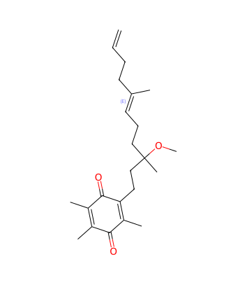 C=CCC/C(C)=C/CCC(C)(CCC1=C(C)C(=O)C(C)=C(C)C1=O)OC